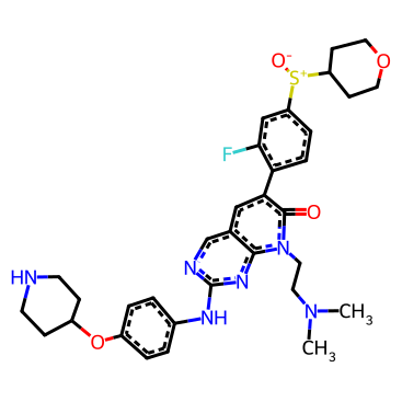 CN(C)CCn1c(=O)c(-c2ccc([S+]([O-])C3CCOCC3)cc2F)cc2cnc(Nc3ccc(OC4CCNCC4)cc3)nc21